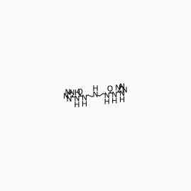 O=C(NCCNCCNC(=O)Nc1nnn[nH]1)Nc1nnn[nH]1